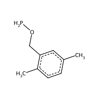 Cc1ccc(C)c(COP)c1